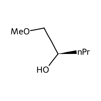 CCC[C@@H](O)COC